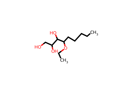 CCCCCC(OCC)C(O)C(O)CO